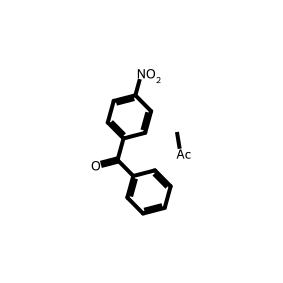 CC(C)=O.O=C(c1ccccc1)c1ccc([N+](=O)[O-])cc1